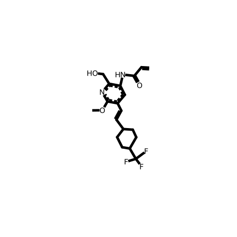 C=CC(=O)Nc1cc(C=CC2CCC(C(F)(F)F)CC2)c(OC)nc1CO